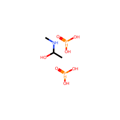 CNC(C)O.O=[PH](O)O.O=[PH](O)O